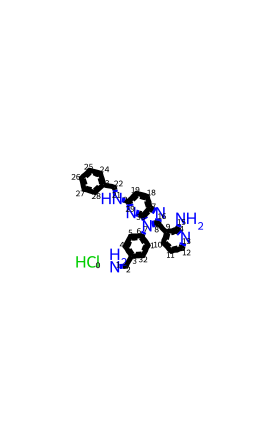 Cl.NCc1ccc(-n2c(-c3cccnc3N)nc3ccc(NCc4ccccc4)nc32)cc1